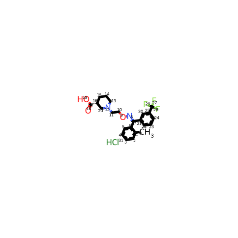 Cc1ccccc1/C(=N\OCCN1CCC[C@@H](C(=O)O)C1)c1cccc(C(F)(F)F)c1.Cl